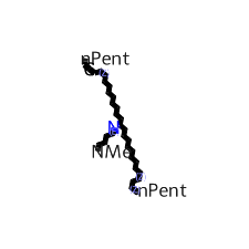 CCCCCC=C=C/C=C\CCCCCCCCC(CCCCCCCC/C=C\C/C=C\CCCCC)/N=C/CCCNC